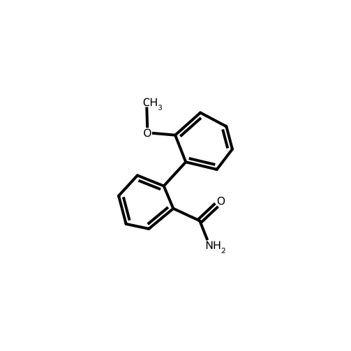 COc1ccccc1-c1ccccc1C(N)=O